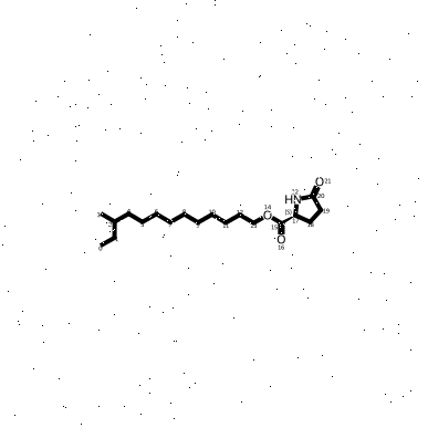 CCC(C)CCCCCCCCCCOC(=O)[C@@H]1CCC(=O)N1